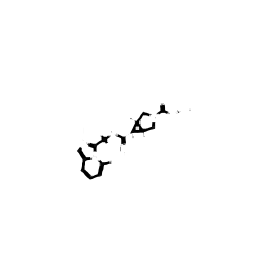 CC(C)(C)OC(=O)N1C[C@@H]2[C@H](C1)[C@H]2C(=O)NC(C)(C)c1ncc2cccc(F)n12